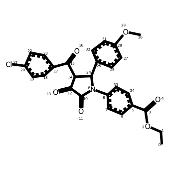 CCOC(=O)c1ccc(N2C(=O)C(=O)C(C(=O)c3ccc(Cl)cc3)C2c2ccc(OC)cc2)cc1